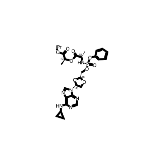 CC(C)OC(=O)[C@H](C)OC(=O)[C@H](C)N[P@](=O)(OC[C@@H]1OC[C@H](n2cnc3c(NC4CC4)ncnc32)O1)Oc1ccccc1